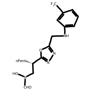 CCCCC[C@@H](CN(O)C=O)c1nnc(CNc2cccc(C(F)(F)F)c2)o1